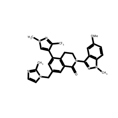 COc1ccc2c(c1)c(N1CCc3c(cc(Cn4ccnc4C)cc3-c3cn(C)nc3C(F)(F)F)C1=O)nn2C